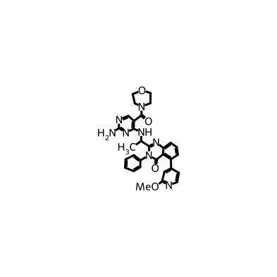 COc1cc(-c2cccc3nc(C(C)Nc4nc(N)ncc4C(=O)N4CCOCC4)n(-c4ccccc4)c(=O)c23)ccn1